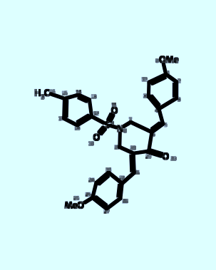 COc1ccc(C=C2CN(S(=O)(=O)c3ccc(C)cc3)CC(=Cc3ccc(OC)cc3)C2=O)cc1